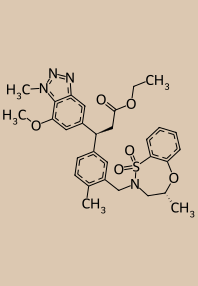 CCOC(=O)C[C@@H](c1ccc(C)c(CN2C[C@@H](C)Oc3ccccc3S2(=O)=O)c1)c1cc(OC)c2c(c1)nnn2C